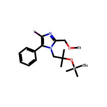 CCOCc1nc(I)c(-c2ccccc2)n1CC(C)(C)O[Si](C)(C)C(C)(C)C